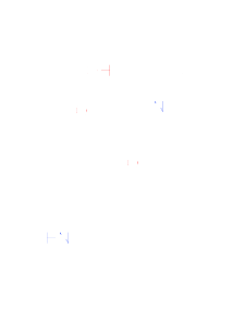 CCCNCCCCOc1c(C)nc(Cc2ccccc2)c2c1COC2O